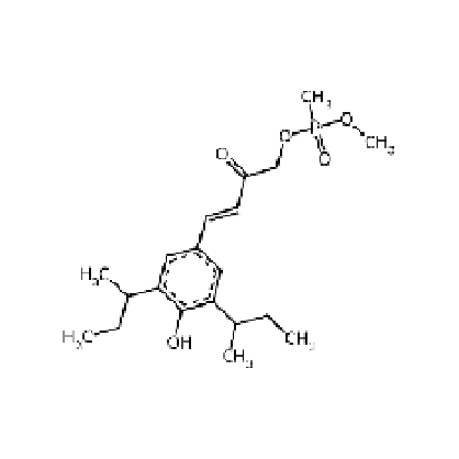 CCC(C)c1cc(C=CC(=O)COP(C)(=O)OC)cc(C(C)CC)c1O